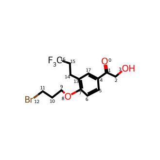 O=C(CO)c1ccc(OCCCBr)c(CCC(F)(F)F)c1